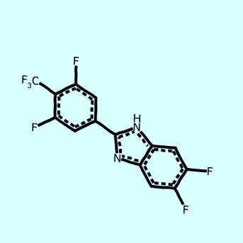 Fc1cc2nc(-c3cc(F)c(C(F)(F)F)c(F)c3)[nH]c2cc1F